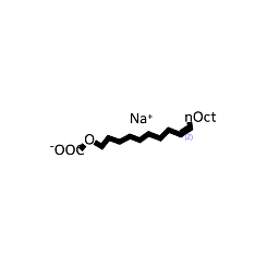 CCCCCCCC/C=C\CCCCCCCCOC(=O)[O-].[Na+]